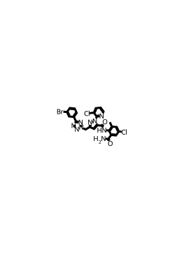 Cc1cc(Cl)cc(C(N)=O)c1NC(=O)c1cc(Cn2nnc(-c3cccc(Br)c3)n2)nn1-c1ncccc1Cl